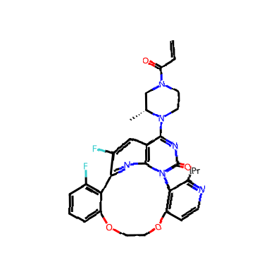 C=CC(=O)N1CCN(c2nc(=O)n3c4nc(c(F)cc24)-c2c(F)cccc2OCCOc2ccnc(C(C)C)c2-3)[C@H](C)C1